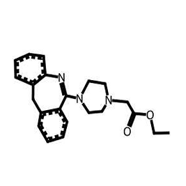 CCOC(=O)CN1CCN(C2=Nc3ccccc3Cc3ccccc32)CC1